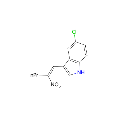 CCC/C(=C/c1c[nH]c2ccc(Cl)cc12)[N+](=O)[O-]